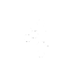 CC[C@H](NC(=O)c1c(CNC2CC2)n(-c2ccccc2)c(=O)c2ccccc12)c1ccccc1